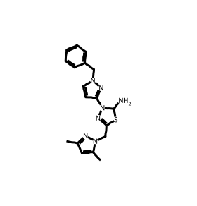 Cc1cc(C)n(CC2=NN(c3ccn(Cc4ccccc4)n3)C(N)S2)n1